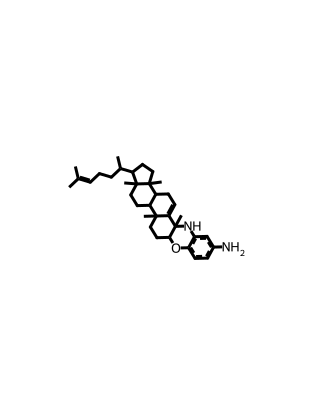 CC(C)=CCCC(C)C1CCC2(C)C3CC=C4C(C)(CCC5Oc6ccc(N)cc6NC45C)C3CCC12C